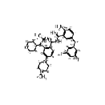 CN1CCN(c2ccc(C(=O)NC(=N)c3cc(Cc4cc(F)cc(F)c4)ccc3N)c(N(C(=O)C(F)(F)F)C3CCOCC3)c2)CC1